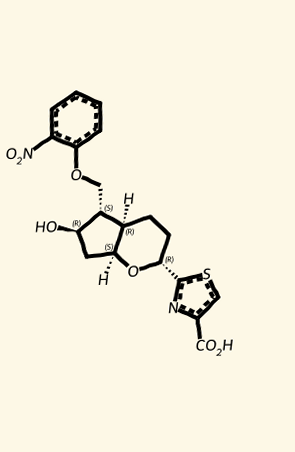 O=C(O)c1csc([C@H]2CC[C@@H]3[C@@H](COc4ccccc4[N+](=O)[O-])[C@H](O)C[C@@H]3O2)n1